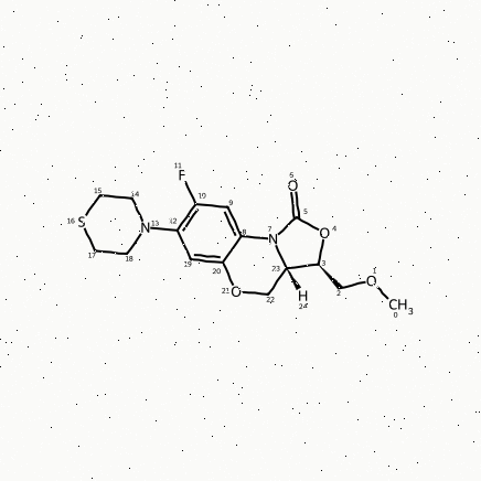 COC[C@@H]1OC(=O)N2c3cc(F)c(N4CCSCC4)cc3OC[C@@H]12